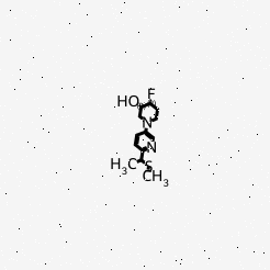 CSC(C)c1ccc(N2CC[C@@H](F)[C@H](O)C2)cn1